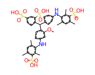 COc1cc(Nc2c(C)cc(C)c(S(=O)(=O)O)c2C)ccc1C(c1ccc(Nc2c(C)cc(C)c(S(=O)(=O)O)c2C)cc1)c1ccc(S(=O)(=O)O)cc1S(=O)(=O)O